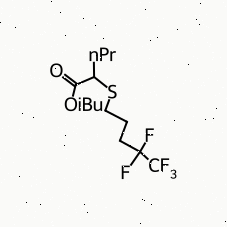 CCCC(SCCCC(F)(F)C(F)(F)F)C(=O)OCC(C)C